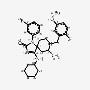 CC[C@@H](C)Oc1ccc(F)c(CN2CCC3(C[C@@H]2C)C(NC2CCCCC2)=NC(=O)N3c2cccc(F)c2)c1